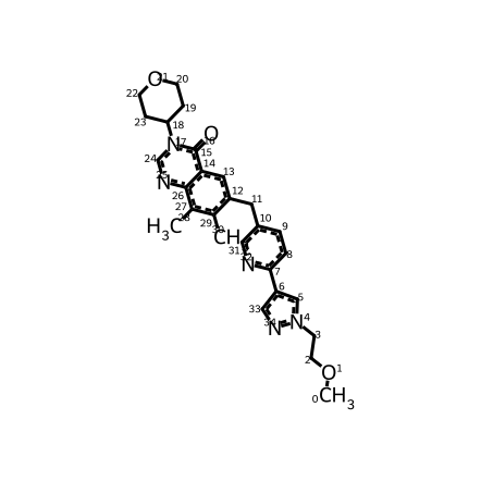 COCCn1cc(-c2ccc(Cc3cc4c(=O)n(C5CCOCC5)cnc4c(C)c3C)cn2)cn1